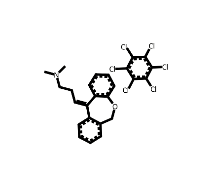 CN(C)CCC=C1c2ccccc2COc2ccccc21.Clc1c(Cl)c(Cl)c(Cl)c(Cl)c1Cl